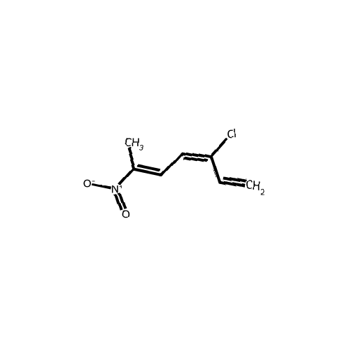 C=C/C(Cl)=C\C=C(/C)[N+](=O)[O-]